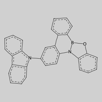 c1ccc2c(c1)OB1c3ccccc3-c3cc(-n4c5ccccc5c5ccccc54)ccc3N12